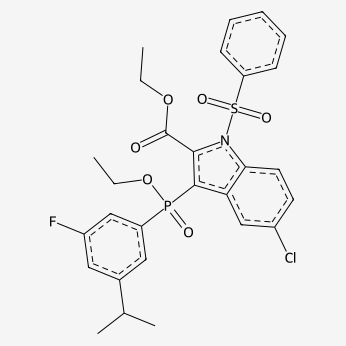 CCOC(=O)c1c(P(=O)(OCC)c2cc(F)cc(C(C)C)c2)c2cc(Cl)ccc2n1S(=O)(=O)c1ccccc1